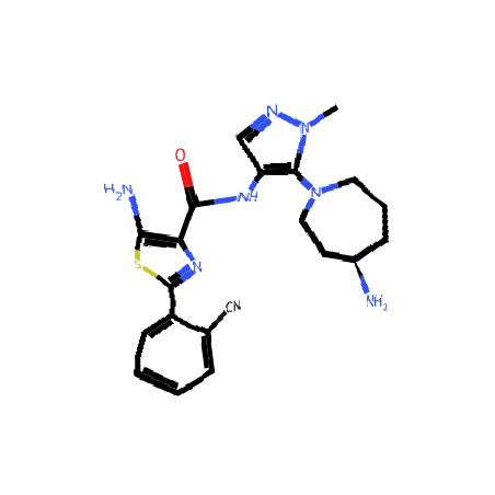 Cn1ncc(NC(=O)c2nc(-c3ccccc3C#N)sc2N)c1N1CCC[C@@H](N)CC1